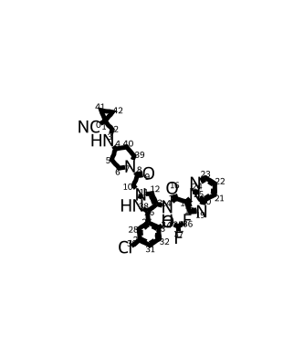 N#CC1(CNC2CCN(C(=O)CN3C=C(NC(=O)c4cnc5cccnn45)C(c4cc(Cl)ccc4OC(F)F)N3)CC2)CC1